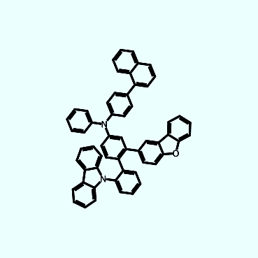 c1ccc(N(c2ccc(-c3cccc4ccccc34)cc2)c2ccc(-c3ccccc3-n3c4ccccc4c4ccccc43)c(-c3ccc4oc5ccccc5c4c3)c2)cc1